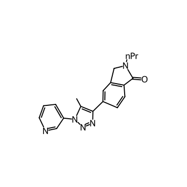 CCCN1Cc2cc(-c3nnn(-c4cccnc4)c3C)ccc2C1=O